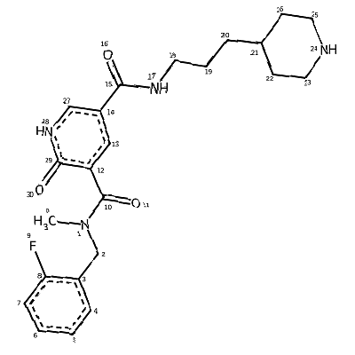 CN(Cc1ccccc1F)C(=O)c1cc(C(=O)NCCCC2CCNCC2)c[nH]c1=O